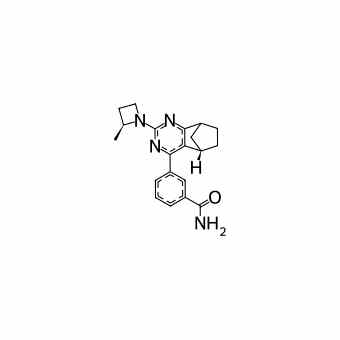 C[C@H]1CCN1c1nc(-c2cccc(C(N)=O)c2)c2c(n1)C1CC[C@H]2C1